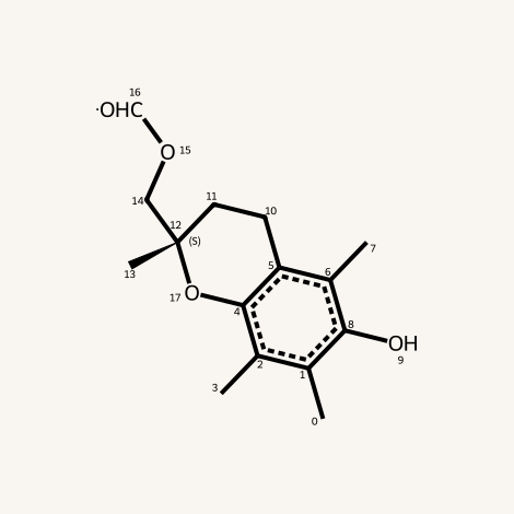 Cc1c(C)c2c(c(C)c1O)CC[C@@](C)(CO[C]=O)O2